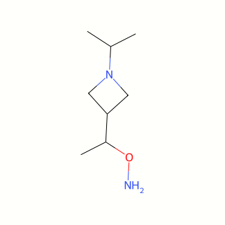 CC(ON)C1CN(C(C)C)C1